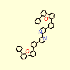 c1ccc(-c2cccc3c2oc2c(-c4cccc(-c5ccnc(-c6cc(-c7cccc(-c8cccc9c8oc8c(-c%10ccccc%10)cccc89)c7)ccn6)c5)c4)cccc23)cc1